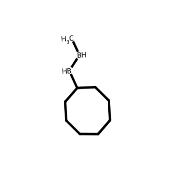 CBBC1CCCCCCC1